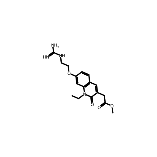 CCn1c(=O)c(CC(=O)OC)cc2ccc(OCCNC(=N)N)cc21